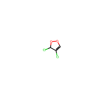 ClC1=COOC1Cl